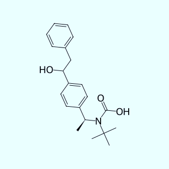 C[C@@H](c1ccc(C(O)Cc2ccccc2)cc1)N(C(=O)O)C(C)(C)C